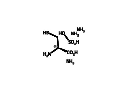 N.N.N.N[C@@H](CS)C(=O)O.O=S(=O)(O)O